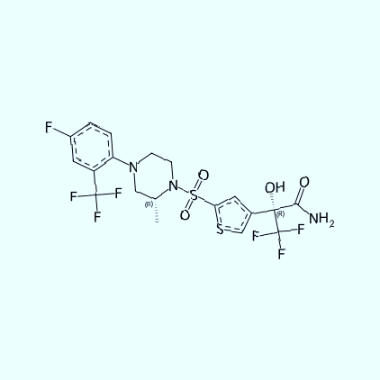 C[C@@H]1CN(c2ccc(F)cc2C(F)(F)F)CCN1S(=O)(=O)c1cc([C@@](O)(C(N)=O)C(F)(F)F)cs1